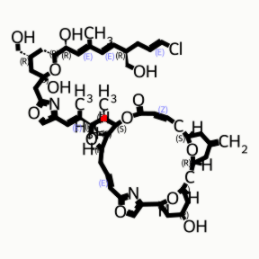 C=C1C[C@@H]2C[C@@H]3C[C@@H](O)C[C@@H](O3)c3coc(n3)/C=C/C[C@H]3O[C@@H](/C(C)=C/c4coc(C[C@]5(O)C[C@H](CO)C[C@H]([C@H](O)/C=C(C)/C=C/[C@H](CO)C/C=C/Cl)O5)n4)[C@H](C)[C@@H](OC(=O)/C=C\C[C@@H](C1)O2)[C@H]3C